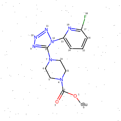 CC(C)(C)OC(=O)N1CCN(c2nnnn2-c2cccc(F)n2)CC1